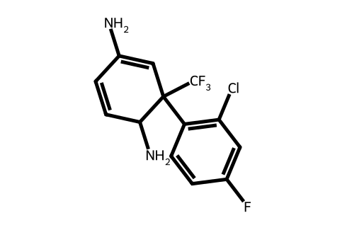 NC1=CC(c2ccc(F)cc2Cl)(C(F)(F)F)C(N)C=C1